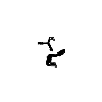 CC(=O)O.CCC#N